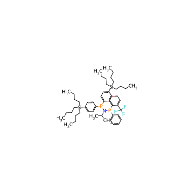 CCCC[Si](CCCC)(CCCC)c1ccc(P(c2ccc([Si](CCCC)(CCCC)CCCC)cc2)N(C(C)C)P(c2ccccc2)c2ccccc2C(F)(F)F)cc1